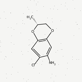 [CH2][C@@H]1COc2cc(N)c(Cl)cc2O1